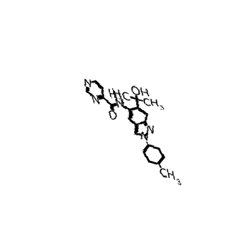 CC(C)(O)c1cc2nn([C@H]3CC[C@H](C)CC3)cc2cc1NC(=O)c1ccncn1